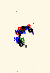 O=C(CCCNc1ncc(C(F)(F)F)cc1Cl)NNS(=O)(=O)c1ccc(CNC(=O)c2ccc(I)cc2)s1